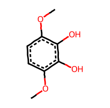 COc1ccc(OC)c(O)c1O